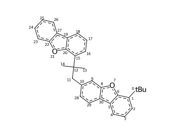 CC(C)(C)c1cccc2c1oc1cc(CC(C)(C)c3cccc4c3oc3ccccc34)ccc12